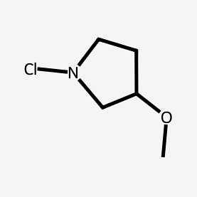 COC1CCN(Cl)C1